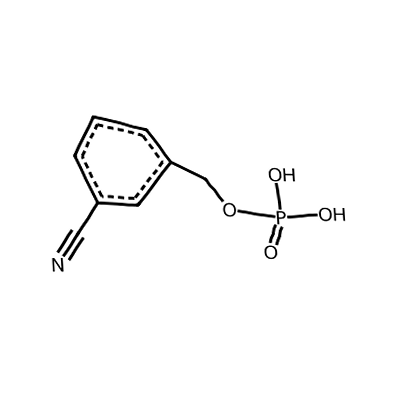 N#Cc1cccc(COP(=O)(O)O)c1